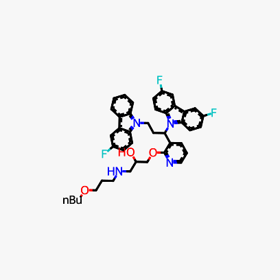 CCCCOCCCNCC(O)COc1ncccc1C(CCn1c2ccccc2c2cc(F)ccc21)n1c2ccc(F)cc2c2cc(F)ccc21